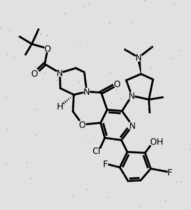 CN(C)[C@@H]1CN(c2nc(-c3c(F)ccc(F)c3O)c(Cl)c3c2C(=O)N2CCN(C(=O)OC(C)(C)C)C[C@@H]2CO3)C(C)(C)C1